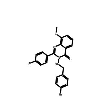 COc1cccc2c(=O)n(NCc3ccc(Br)cc3)c(-c3ccc(F)cc3)nc12